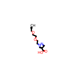 C#CCOCCOCCn1cc(C(=O)O)cn1